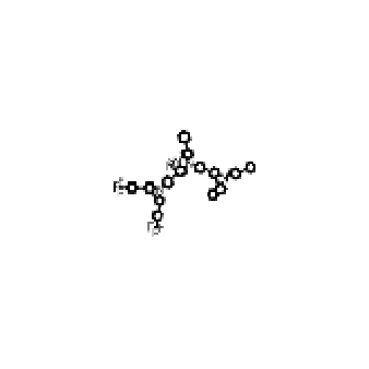 FC(F)(F)c1ccc(-c2ccc3c(c2)c2cc(-c4ccc(C(F)(F)F)cc4)ccc2n3-c2ccc(-c3ccc(N(c4ccc(-c5ccccc5)cc4)c4ccc(-c5ccc6c(c5)c5c7ccccc7ccc5n6-c5ccc(-c6ccccc6)cc5)cc4)c4nsnc34)cc2)cc1